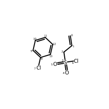 C=CCS(=O)(=O)Cl.Clc1ccccc1